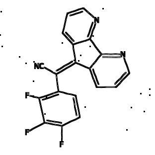 N#CC(=C1c2cccnc2-c2ncccc21)c1ccc(F)c(F)c1F